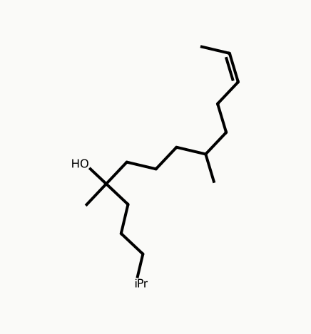 C/C=C\CCC(C)CCCC(C)(O)CCCC(C)C